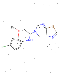 CC(C)Oc1cc(F)ccc1NC(C)N(C)C/N=C1\CN=CS1